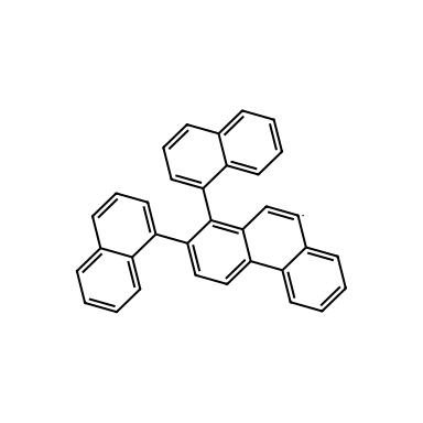 [c]1cc2c(-c3cccc4ccccc34)c(-c3cccc4ccccc34)ccc2c2ccccc12